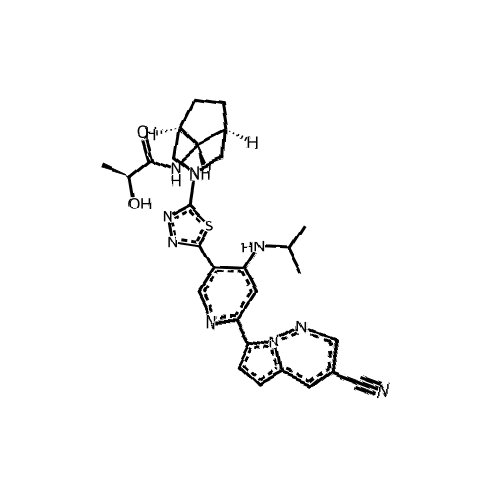 CC(C)Nc1cc(-c2ccc3cc(C#N)cnn23)ncc1-c1nnc(N2C[C@H]3CC[C@@H](C2)[C@@H]3NC(=O)[C@H](C)O)s1